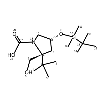 CC(C)(C)[C@@]1(CO)C[C@@H](O[Si](C)(C)C(C)(C)C)CN1C(=O)O